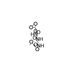 Cc1ccccc1C#Cc1ccccc1NC(=O)CCNC(=O)CNC(=O)OCC1c2ccccc2-c2ccccc21